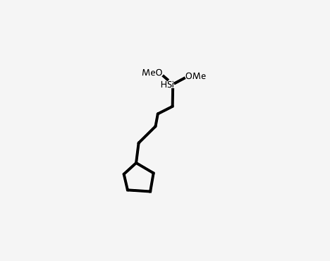 CO[SiH](CCCCC1CCCC1)OC